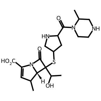 CC1C=C(C(=O)O)N2C(=O)C(SC3CNC(C(=O)N4CCNCC4C)C3)(C(C)O)[C@H]12